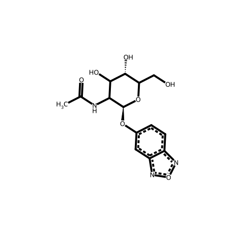 CC(=O)NC1C(O)[C@H](O)C(CO)O[C@H]1Oc1ccc2nonc2c1